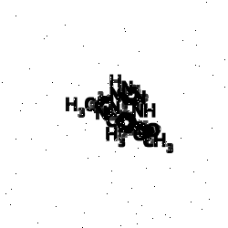 Cc1cc(Nc2cc(Nc3ccccc3CS(C)(=O)=O)ncn2)nc(C)n1